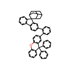 c1ccc(C2(c3ccccc3)c3ccccc3Oc3ccc(-c4ccccc4-c4ccc5c(c4)C4(c6ccccc6-5)C5CC6CC(C5)CC4C6)cc32)cc1